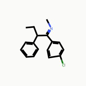 CCC(/C(=N\C)c1ccc(Cl)cc1)c1ccccc1